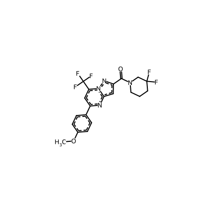 COc1ccc(-c2cc(C(F)(F)F)n3nc(C(=O)N4CCCC(F)(F)C4)cc3n2)cc1